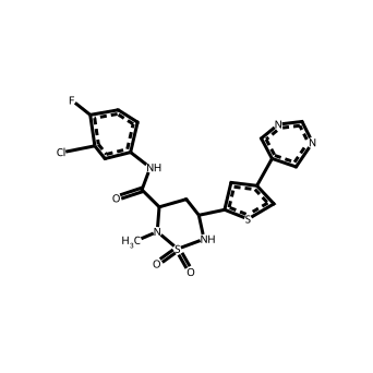 CN1C(C(=O)Nc2ccc(F)c(Cl)c2)CC(c2cc(-c3cncnc3)cs2)NS1(=O)=O